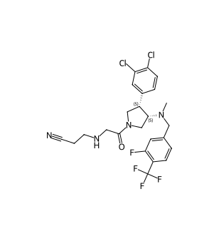 CN(Cc1ccc(C(F)(F)F)c(F)c1)[C@@H]1CN(C(=O)CNCCC#N)C[C@@H]1c1ccc(Cl)c(Cl)c1